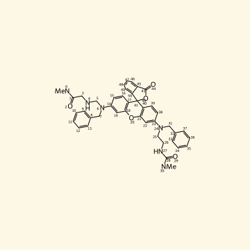 CNC(=O)CNCN(Cc1ccccc1)c1ccc2c(c1)Oc1cc(N(CCNC(=O)NC)Cc3ccccc3)ccc1C21OC(=O)c2ccccc21